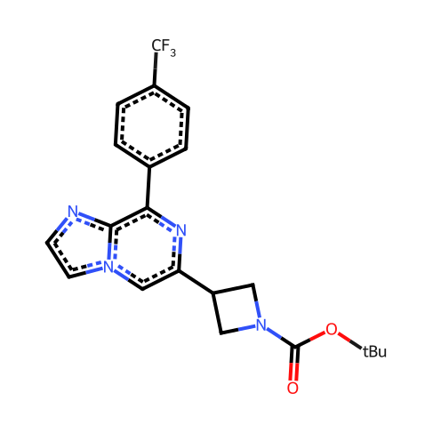 CC(C)(C)OC(=O)N1CC(c2cn3ccnc3c(-c3ccc(C(F)(F)F)cc3)n2)C1